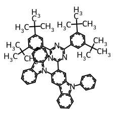 CC(C)(C)c1cc(-c2nc(-c3cc(C(C)(C)C)cc(C(C)(C)C)c3)nc(-c3cc4c(cc3-n3c5ccccc5c5ccccc53)c3ccccc3n4-c3ccccc3)n2)cc(C(C)(C)C)c1